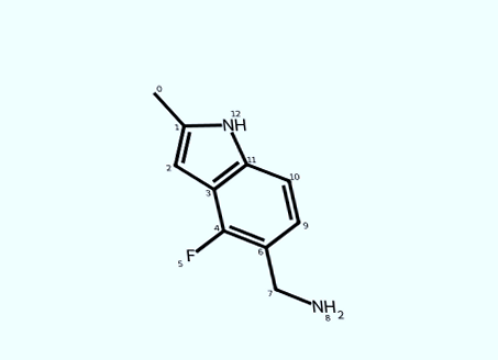 Cc1cc2c(F)c(CN)ccc2[nH]1